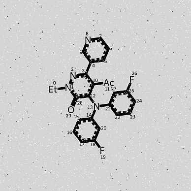 CCn1nc(-c2cccnc2)c(C(C)=O)c(N(c2cccc(F)c2)c2cccc(F)c2)c1=O